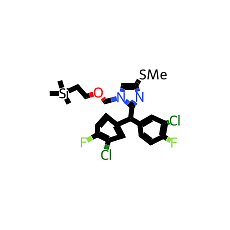 CSc1cn(COCC[Si](C)(C)C)c(C(c2ccc(F)c(Cl)c2)c2ccc(F)c(Cl)c2)n1